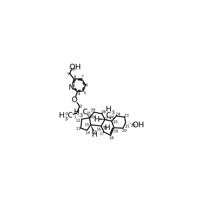 CC(COc1cccc(CO)n1)[C@H]1CC[C@H]2[C@@H]3CC=C4C[C@@H](O)CC[C@]4(C)[C@H]3CC[C@]12C